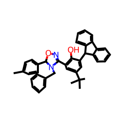 Cc1ccc(C2ON=C(c3cc(C(C)(C)C)cc(C4c5ccccc5-c5ccccc54)c3O)N2Cc2ccccc2)cc1